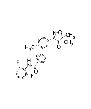 Cc1ccc(C2=NOC(C)(C)C2=O)cc1-c1ccc(C(=O)Nc2c(F)cccc2F)s1